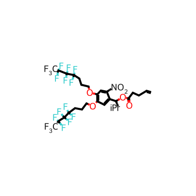 C=CCCC(=O)OC(c1cc(OCCCC(F)(F)C(F)(F)C(F)(F)C(F)(F)F)c(OCCCC(F)(F)C(F)(F)C(F)(F)C(F)(F)F)cc1[N+](=O)[O-])C(C)C